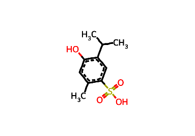 Cc1cc(O)c(C(C)C)cc1S(=O)(=O)O